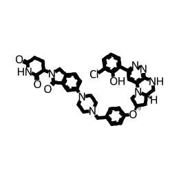 O=C1CCC(N2Cc3ccc(N4CCN(Cc5ccc(O[C@@H]6C[C@@H]7CNc8nnc(-c9cccc(Cl)c9O)cc8N7C6)cc5)CC4)cc3C2=O)C(=O)N1